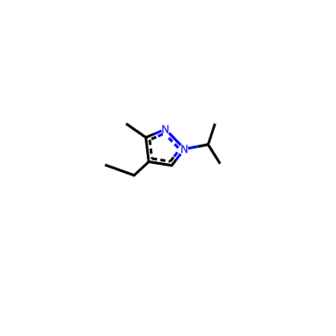 CCc1cn(C(C)C)nc1C